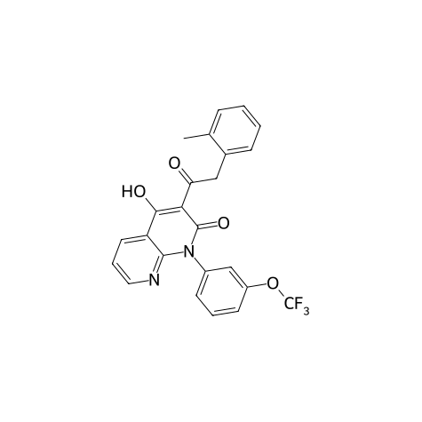 Cc1ccccc1CC(=O)c1c(O)c2cccnc2n(-c2cccc(OC(F)(F)F)c2)c1=O